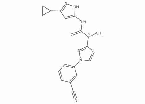 C[C@@H](C(=O)Nc1cc(C2CC2)n[nH]1)c1ccn(-c2cccc(C#N)c2)n1